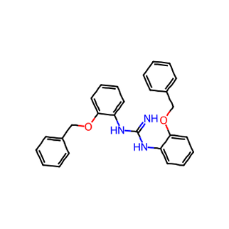 N=C(Nc1ccccc1OCc1ccccc1)Nc1ccccc1OCc1ccccc1